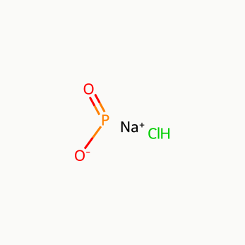 Cl.O=P[O-].[Na+]